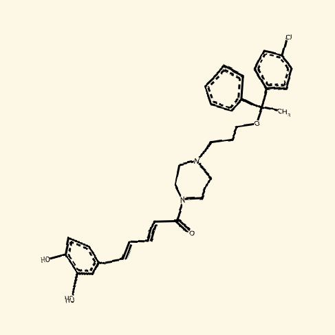 CC(OCCCN1CCN(C(=O)C=CC=Cc2ccc(O)c(O)c2)CC1)(c1ccccc1)c1ccc(Cl)cc1